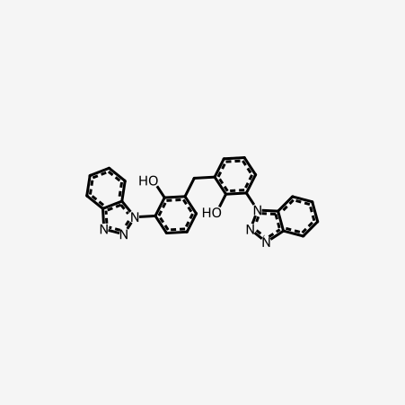 Oc1c(Cc2cccc(-n3nnc4ccccc43)c2O)cccc1-n1nnc2ccccc21